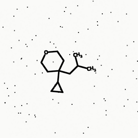 CC(C)CC1(C2CC2)CCOCC1